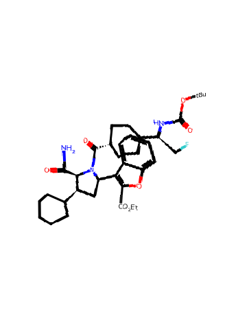 CCOC(=O)c1oc2ccccc2c1C1C[C@@H](C2CCCCC2)[C@@H](C(N)=O)N1C(=O)[C@H]1CC[C@H]([C@H](CF)NC(=O)OC(C)(C)C)CC1